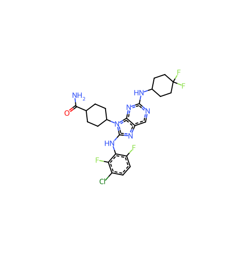 NC(=O)C1CCC(n2c(Nc3c(F)ccc(Cl)c3F)nc3cnc(NC4CCC(F)(F)CC4)nc32)CC1